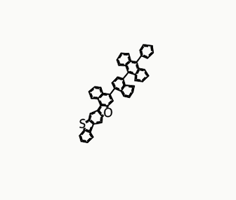 c1ccc(-c2c3ccccc3c(-c3ccc(-c4cc5oc6cc7c(cc6c5c5ccccc45)sc4ccccc47)c4ccccc34)c3ccccc23)cc1